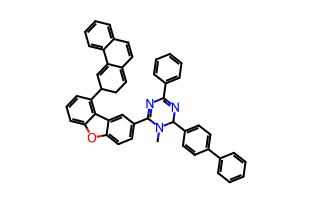 CN1C(c2ccc3oc4cccc(C5C=c6c(ccc7ccccc67)=CC5)c4c3c2)=NC(c2ccccc2)=NC1c1ccc(-c2ccccc2)cc1